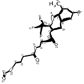 Cc1cc(Br)cc2c1OC(C(F)(F)F)C(C(=O)CCOC(=O)CCCON=O)=C2